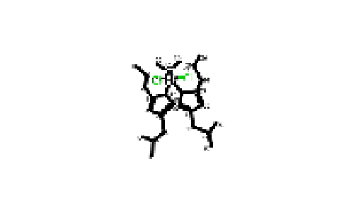 CCCC1=CC(CC(C)C)=C[CH]1[Hf]([Cl])([Cl])([CH]1C=C(CC(C)C)C=C1CCC)[SiH](C)C